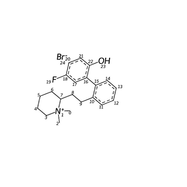 C[N+]1(C)CCCCC1CCc1ccccc1-c1cc(F)ccc1O.[Br-]